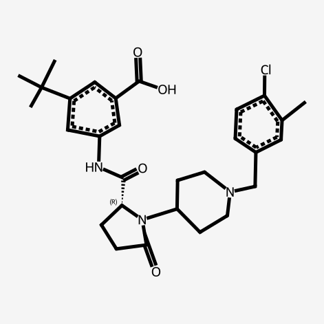 Cc1cc(CN2CCC(N3C(=O)CC[C@@H]3C(=O)Nc3cc(C(=O)O)cc(C(C)(C)C)c3)CC2)ccc1Cl